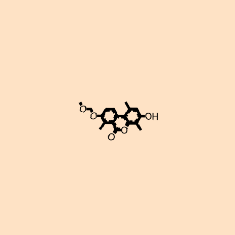 COCOc1ccc2c(c1C)c(=O)oc1c(C)c(O)cc(C)c12